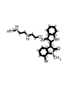 CCCNCCNCCO/N=C1/C(=C2/C(=O)N(C)c3c(Br)cccc32)Nc2ccccc21